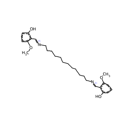 COc1cccc(O)c1/C=N/CCCCCCCCCCCC/N=C/c1c(O)cccc1OC